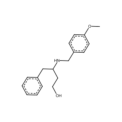 COc1ccc(CNC(CCO)Cc2ccccc2)cc1